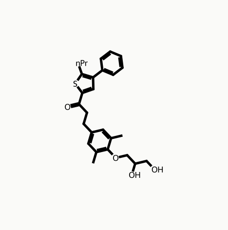 CCCc1sc(C(=O)CCc2cc(C)c(OCC(O)CO)c(C)c2)cc1-c1ccccc1